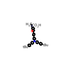 C/C(=C/c1ccc2cc(-c3ccc(-c4ccc(N(c5ccc(-c6ccc(C(C)(C)C)cc6)cc5)c5ccc(-c6ccc(C(C)(C)C)cc6)cc5)cc4)cc3)oc2c1)C(=O)O